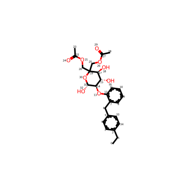 CCc1ccc(Cc2ccccc2O[C@@H]2[C@@H](O)[C@H](O)C(COC(C)=O)(COC(C)=O)O[C@H]2O)cc1